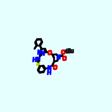 Cc1ccccc1-c1cc2nc(n1)NSc1cccc(c1)NC(=O)C1CC(CN(C(=O)OC(C)(C)C)C1)O2